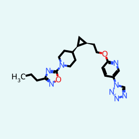 CCCc1noc(N2CCC([C@H]3C[C@H]3CCOc3ccc(-n4cnnn4)cn3)CC2)n1